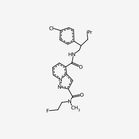 CC(C)CC(CNC(=O)c1cccn2nc(C(=O)N(C)CCF)cc12)c1ccc(Cl)cc1